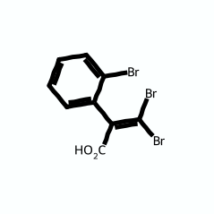 O=C(O)C(=C(Br)Br)c1ccccc1Br